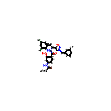 CCc1cccc(CNC[C@H](O)[C@H](Cc2cc(F)cc(F)c2)NC(=O)c2ccc(NC(=S)NC)cc2O)c1